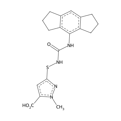 Cn1nc(SNC(=O)Nc2c3c(cc4c2CCC4)CCC3)cc1C(=O)O